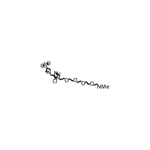 CNCCOCCOCCOCCOCCn1nnc(CN2CC(S(C)(=O)=O)C2)c1Cl